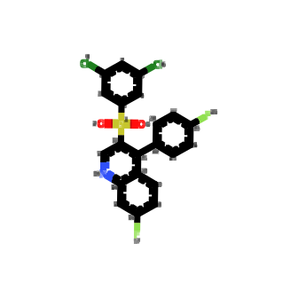 O=S(=O)(c1cc(Cl)cc(Cl)c1)c1cnc2cc(F)ccc2c1-c1ccc(F)cc1